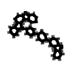 c1ccc2c(c1)oc1ccc3c4ccccc4n(-c4ccc(-c5ccc(-c6ccc7sc8ccccc8c7c6)cc5)cc4)c3c12